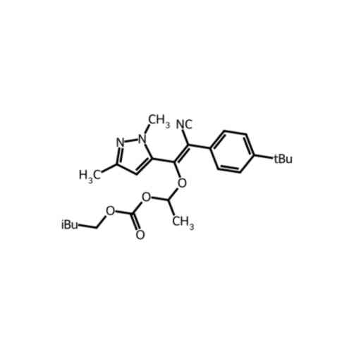 CCC(C)COC(=O)OC(C)O/C(=C(/C#N)c1ccc(C(C)(C)C)cc1)c1cc(C)nn1C